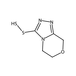 SSc1nnc2n1CCOC2